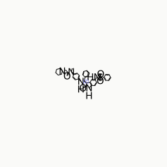 CN(C(=O)CN1CCCCC1)c1ccc(N/C(=C2\C(=O)Nc3ccc(NS(=O)(=O)c4ccccc4)cc32)c2ccccc2)cc1